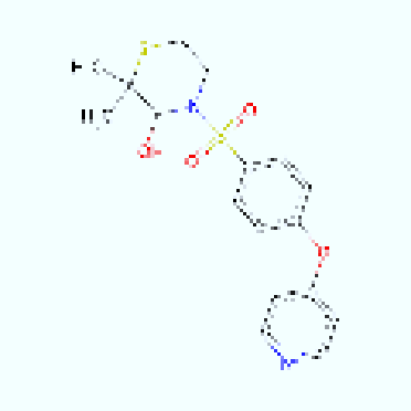 CC1(C)SCCN(S(=O)(=O)c2ccc(Oc3ccncc3)cc2)C1O